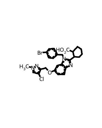 Cn1cc(Cl)c(COc2ccc3nc(C4CCCCC4C(=O)O)n(Cc4ccc(Br)cc4)c3c2)n1